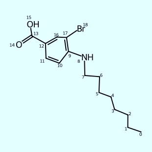 CCCCCCCCNc1ccc(C(=O)O)cc1Br